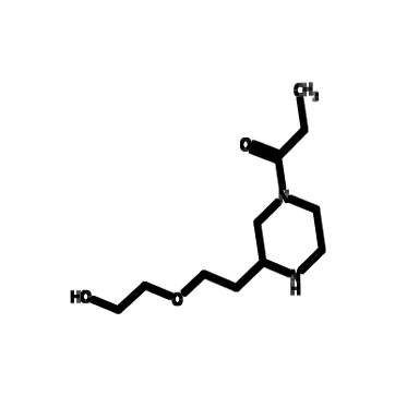 CCC(=O)N1CCNC(CCOCCO)C1